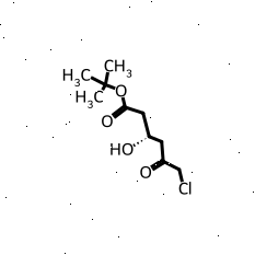 CC(C)(C)OC(=O)C[C@@H](O)CC(=O)CCl